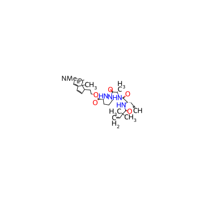 C#CC[C@H](NC(=O)C(C)(C)C=C)C(=O)N[C@@H](C)C(=O)N1CCC[C@@H](C(=O)OCCC2C=C/C(=C/NC)[C@@]2(C)C(C)C)N1